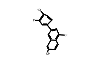 CCc1cc(-c2ccc(O)c(F)c2)cc2cc(O)ccc12